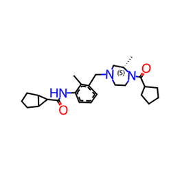 Cc1c(CN2CCN(C(=O)C3CCCC3)[C@@H](C)C2)cccc1NC(=O)C1C2CCCC21